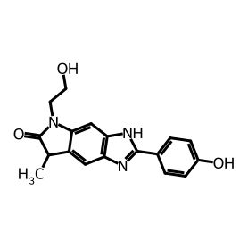 CC1C(=O)N(CCO)c2cc3[nH]c(-c4ccc(O)cc4)nc3cc21